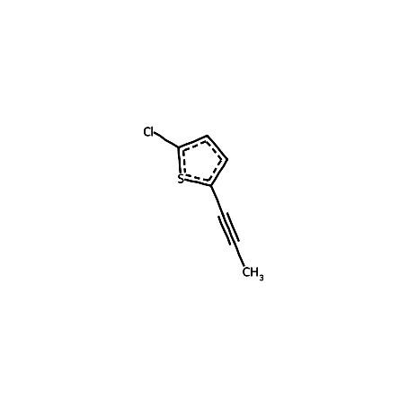 CC#Cc1ccc(Cl)s1